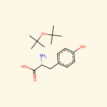 CC(C)(C)OC(C)(C)C.N[C@H](Cc1ccc(O)cc1)C(=O)O